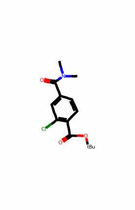 CN(C)C(=O)c1ccc(C(=O)OC(C)(C)C)c(Cl)c1